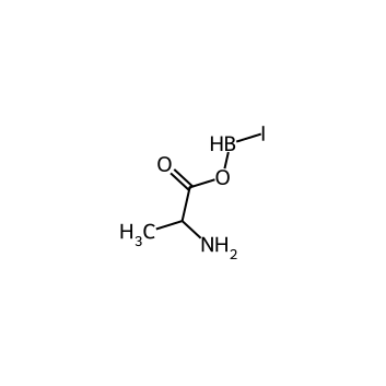 CC(N)C(=O)OBI